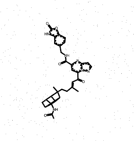 CC(=O)NC12C3CC1C1C2C3C1(C)CC/C(C)=C/C(=O)c1cc(C(=O)NCc2ccc3oc(=O)[nH]c3c2)nc2ccnn12